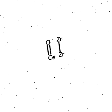 [O]=[Ce].[Zr][Zr]